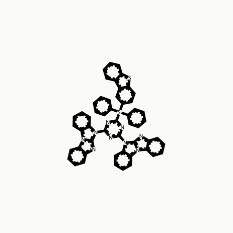 c1ccc([Si](c2ccccc2)(c2ccc3sc4ccccc4c3c2)c2nc(-n3c4ccccc4n4c5ccccc5nc34)nc(-n3c4ccccc4n4c5ccccc5nc34)n2)cc1